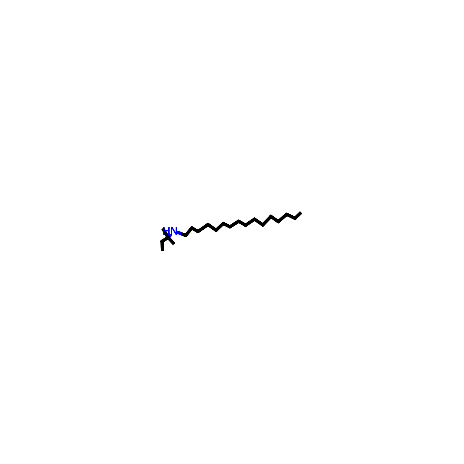 CCCCCCCCCCCCCCCCNC(C)(C)CC